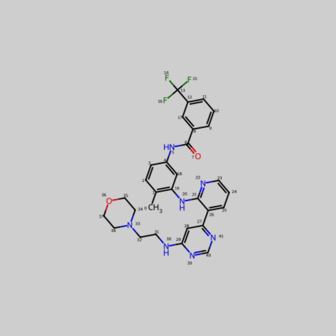 Cc1ccc(NC(=O)c2cccc(C(F)(F)F)c2)cc1Nc1ncccc1-c1cc(NCCN2CCOCC2)ncn1